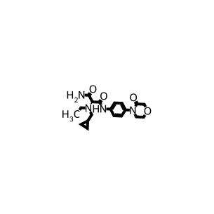 CCN(CC1CC1)[C@H](C(N)=O)C(=O)Nc1ccc(N2CCOCC2=O)cc1